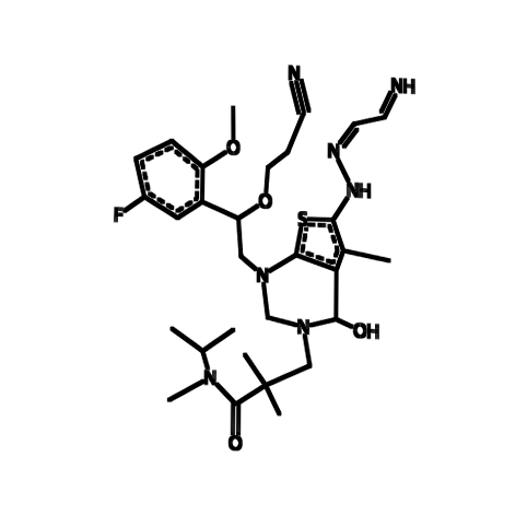 COc1ccc(F)cc1C(CN1CN(CC(C)(C)C(=O)N(C)C(C)C)C(O)c2c1sc(N/N=C\C=N)c2C)OCCC#N